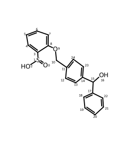 O=S(O)c1ccccc1OCc1ccc(C(O)c2ccccc2)cc1